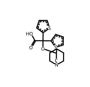 O=C(O)C(OC1CN2CCC1CC2)(c1cccs1)c1cccs1